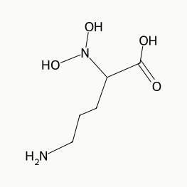 NCCCC(C(=O)O)N(O)O